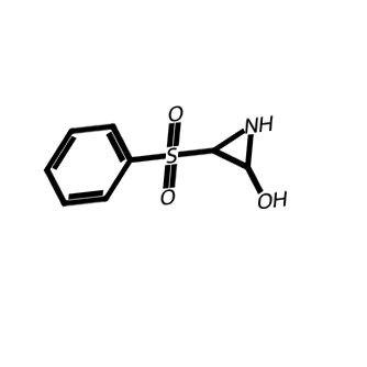 O=S(=O)(c1ccccc1)C1NC1O